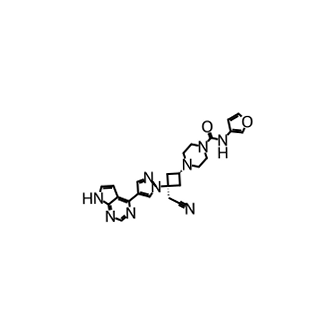 N#CC[C@]1(n2cc(-c3ncnc4[nH]ccc34)cn2)C[C@H](N2CCN(C(=O)Nc3ccoc3)CC2)C1